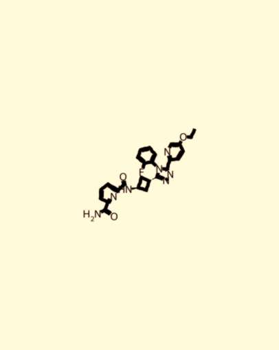 CCOc1ccc(-c2nnc([C@H]3C[C@H](NC(=O)c4cccc(C(N)=O)n4)C3)n2-c2ccccc2F)nc1